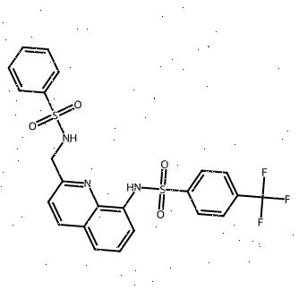 O=S(=O)(NCc1ccc2cccc(NS(=O)(=O)c3ccc(C(F)(F)F)cc3)c2n1)c1ccccc1